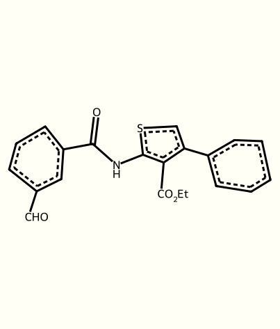 CCOC(=O)c1c(-c2ccccc2)csc1NC(=O)c1cccc(C=O)c1